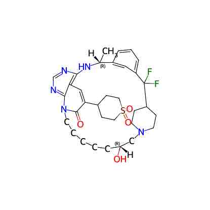 C[C@H]1Nc2ncnc3c2cc(C2CCS(=O)(=O)CC2)c(=O)n3CCCCC[C@@H](O)CN2CCC(CC2)C(F)(F)c2cccc1c2